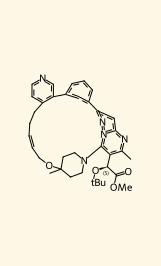 COC(=O)[C@@H](OC(C)(C)C)c1c(C)nc2cc3nn2c1N1CCC(C)(CC1)OCC=CCCc1ccncc1-c1cccc-3c1